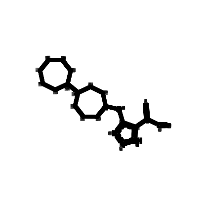 COC(=O)c1[nH]nnc1OC1CCCC(C2CCCCCC2)CC1